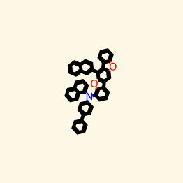 c1ccc(-c2ccc(N(c3cccc4ccccc34)c3cccc4c3oc3c(-c5ccc6ccccc6c5)c5c(cc34)oc3ccccc35)cc2)cc1